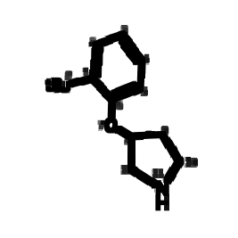 CC(C)(C)c1ccccc1OC1CCNC1